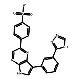 CC(C)S(=O)(=O)c1ccc(-c2cnc3[nH]cc(-c4cccc(-c5nnc[nH]5)c4)c3n2)cc1